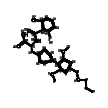 CCCOCc1cc(OC)c(-c2ccc(C[C@H](NC(=O)c3c(F)cccc3Cl)C(=O)O)cc2)c(OC)c1